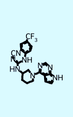 N#C/N=C(\Nc1ccc(C(F)(F)F)cc1)NC1CCCN(c2ncnc3[nH]ccc23)C1